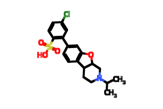 CC(C)N1CCC2c3ccc(-c4cc(Cl)ccc4S(=O)(=O)O)cc3OC2C1